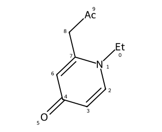 CCn1ccc(=O)cc1CC(C)=O